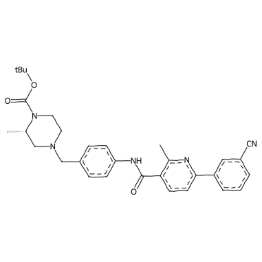 Cc1nc(-c2cccc(C#N)c2)ccc1C(=O)Nc1ccc(CN2CCN(C(=O)OC(C)(C)C)[C@@H](C)C2)cc1